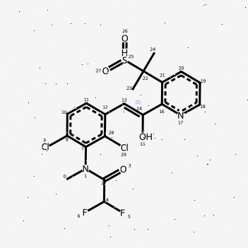 CN(C(=O)C(F)F)c1c(Cl)ccc(/C=C(\O)c2ncccc2C(C)(C)[SH](=O)=O)c1Cl